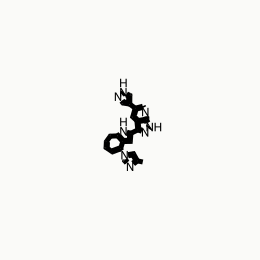 Cc1cn(C2=CC=CCc3[nH]c(-c4n[nH]c5ncc(-c6cn[nH]c6)cc45)cc32)cn1